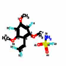 COc1c(F)c(OC)c(C=C(F)F)c(OC)c1F.NS(=O)(=O)F